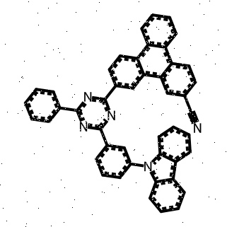 N#Cc1ccc2c3ccccc3c3ccc(-c4nc(-c5ccccc5)nc(-c5cccc(-n6c7ccccc7c7ccccc76)c5)n4)cc3c2c1